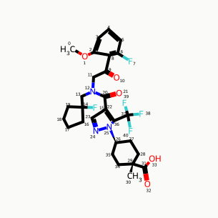 COc1cccc(F)c1C(=O)CN(CC1(F)CCCC1)C(=O)c1cnn([C@H]2CC[C@](C)(C(=O)O)CC2)c1C(F)(F)F